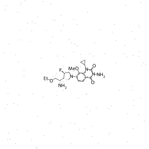 CCOC[C@@H](N)[C@H]1CN(c2ccc3c(=O)n(N)c(=O)n(C4CC4)c3c2OC)C[C@@H]1F